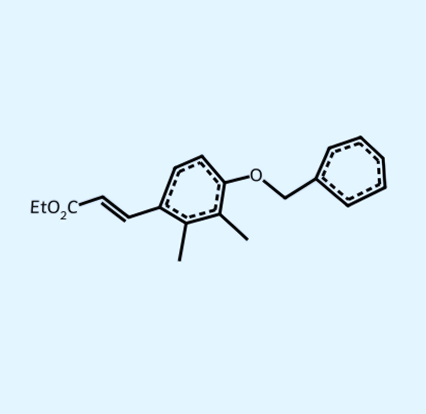 CCOC(=O)C=Cc1ccc(OCc2ccccc2)c(C)c1C